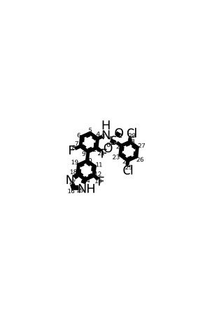 O=S(=O)(Nc1ccc(F)c(-c2cc(F)c3[nH]cnc3c2)c1F)c1cc(Cl)ccc1Cl